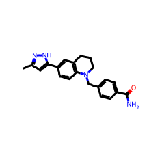 Cc1cc(-c2ccc3c(c2)CCCN3Cc2ccc(C(N)=O)cc2)[nH]n1